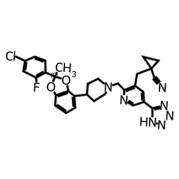 C[C@]1(c2ccc(Cl)cc2F)Oc2cccc(C3CCN(Cc4ncc(-c5nnn[nH]5)cc4CC4(C#N)CC4)CC3)c2O1